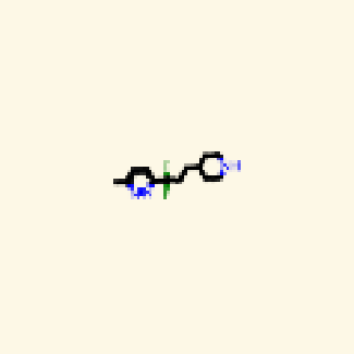 Cc1ccc(C(F)(F)CCC2CCNCC2)nn1